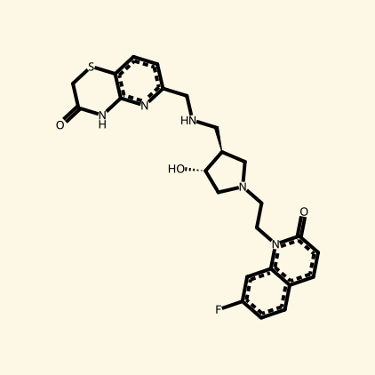 O=C1CSc2ccc(CNC[C@H]3CN(CCn4c(=O)ccc5ccc(F)cc54)C[C@@H]3O)nc2N1